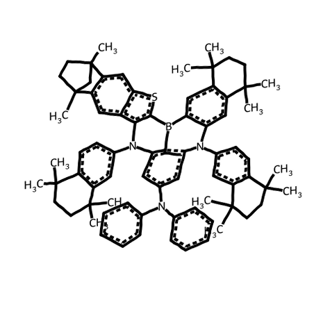 CC1(C)CCC(C)(C)c2cc(N3c4cc5c(cc4B4c6sc7cc8c(cc7c6N(c6ccc7c(c6)C(C)(C)CCC7(C)C)c6cc(N(c7ccccc7)c7ccccc7)cc3c64)C3(C)CCC8(C)C3)C(C)(C)CCC5(C)C)ccc21